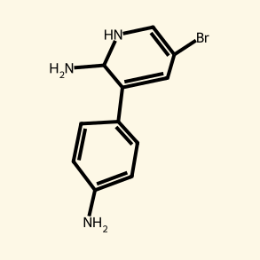 Nc1ccc(C2=CC(Br)=CNC2N)cc1